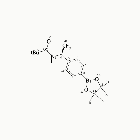 CC(C)(C)[S+]([O-])N[C@H](c1ccc(B2OC(C)(C)C(C)(C)O2)cc1)C(F)(F)F